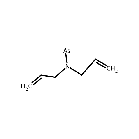 C=CCN([As])CC=C